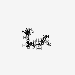 Nc1nc2ncc(CNc3ccc(C(=O)N[C@@H](CCC(=O)NCCNC(=S)Nc4ccc(-c5c6ccc(=O)cc-6oc6cc(O)ccc56)c(C(=O)O)c4)C(=O)O)cc3)nc2c(=O)[nH]1